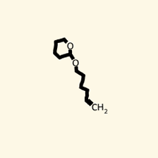 C=CCCCCOC1CCCCO1